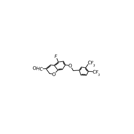 O=CC1=Cc2c(F)cc(OCc3ccc(C(F)(F)F)c(C(F)(F)F)c3)cc2OC1